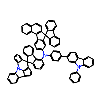 c1ccc(-n2c3ccccc3c3ccc(-c4ccc(N(c5ccc6c(c5)C5(c7ccccc7-c7ccccc75)c5ccc7ccccc7c5-6)c5cccc6c5-c5ccccc5C65c6ccccc6-n6c7ccccc7c7cccc5c76)cc4)cc32)cc1